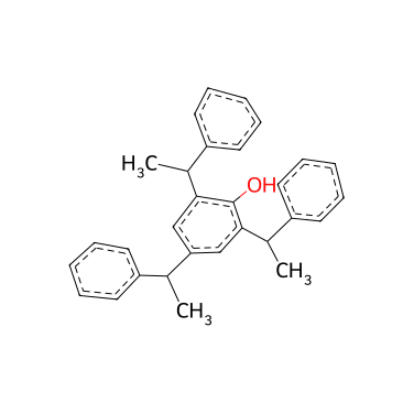 CC(c1ccccc1)c1cc(C(C)c2ccccc2)c(O)c(C(C)c2ccccc2)c1